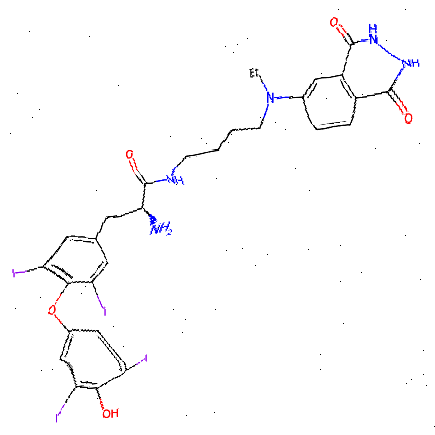 CCN(CCCCNC(=O)[C@@H](N)Cc1cc(I)c(Oc2cc(I)c(O)c(I)c2)c(I)c1)c1ccc2c(=O)[nH][nH]c(=O)c2c1